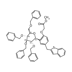 COC(=O)COc1ccc(Cc2cc3ccccc3s2)cc1[C@@H]1O[C@H](COCc2ccccc2)[C@@H](OCc2ccccc2)[C@H](OCc2ccccc2)[C@H]1OCc1ccccc1